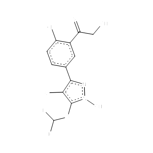 CCC(=S)c1cc(-c2nn(C)c(OC(F)F)c2Cl)ccc1Cl